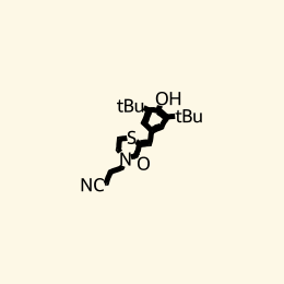 CC(C)(C)c1cc(C=C2SCCN(CCCC#N)C2=O)cc(C(C)(C)C)c1O